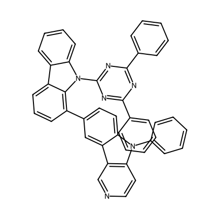 c1ccc(-c2nc(-c3ccccc3)nc(-n3c4ccccc4c4cccc(-c5ccc6c(c5)c5cnccc5n6-c5ccccc5)c43)n2)cc1